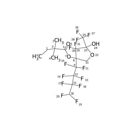 CCC(C)(C)C(=O)OC1(C(F)(F)C(F)(F)C(F)(F)C(F)F)COC(O)(C(F)(F)F)C1(F)F